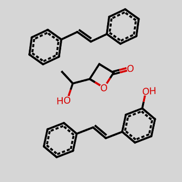 C(=Cc1ccccc1)c1ccccc1.CC(O)C1CC(=O)O1.Oc1cccc(C=Cc2ccccc2)c1